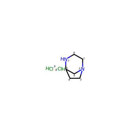 C1CN2CCC(C2)N1.Cl.Cl